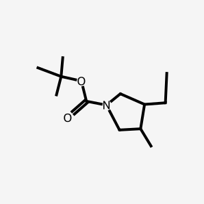 CCC1CN(C(=O)OC(C)(C)C)CC1C